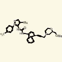 COCC1CN(CC#Cc2ccc(NC(=O)Nc3c(C(C)(C)C)cnn3-c3ccc(C)cc3)c3ccccc23)CCO1